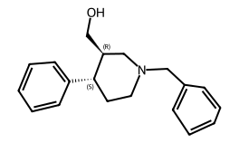 OC[C@H]1CN(Cc2ccccc2)CC[C@@H]1c1ccccc1